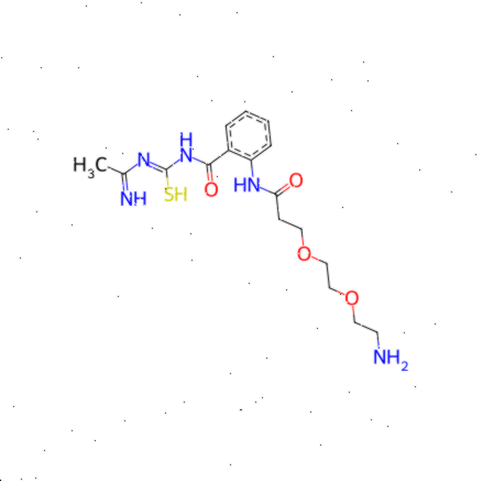 CC(=N)/N=C(\S)NC(=O)c1ccccc1NC(=O)CCOCCOCCN